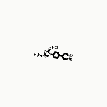 Cl.NC[C@H]1CN(c2ccc(C3C=CS(=O)(=O)CC3)cc2)C(=O)O1